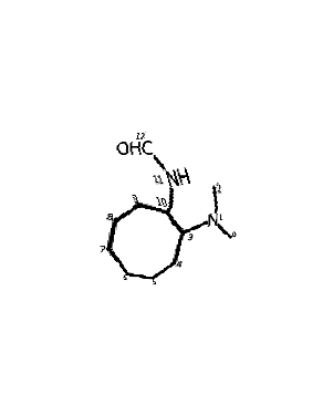 CN(C)C1CCCCCCC1NC=O